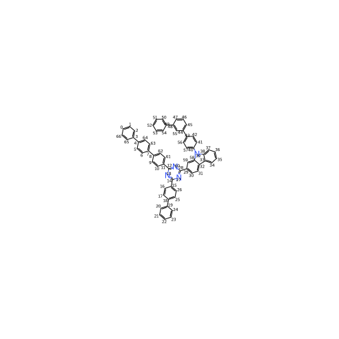 c1ccc(-c2ccc(-c3ccc(-c4nc(-c5ccc(-c6ccccc6)cc5)nc(-c5ccc6c7ccccc7n(-c7ccc(-c8cccc(-c9ccccc9)c8)cc7)c6c5)n4)cc3)cc2)cc1